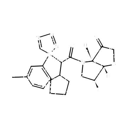 [CH]c1cccc([N+]2(C(C(=O)N3C[C@H](Cl)[C@H]4OCC(=O)[C@H]43)C3CCCC3)C=NN=N2)c1